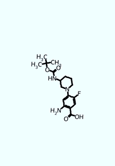 CC(C)(C)OC(=O)NC1CCCN(c2cc(N)c(C(=O)O)cc2F)C1